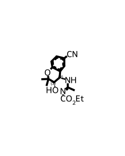 CCOC(=O)N=C(C)N[C@@H]1c2cc(C#N)ccc2OC(C)(C)[C@H]1O